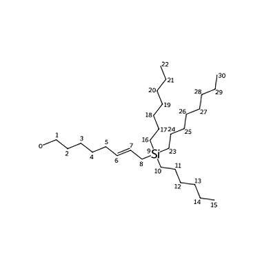 CCCCCCC=CC[Si](CCCCCC)(CCCCCCC)CCCCCCCC